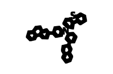 c1cc(-c2ccc3ccccc3c2)cc(N(c2ccc(-c3ccc4c(ccc5ccccc54)c3)cc2)c2ccc3sc4ccccc4c3c2)c1